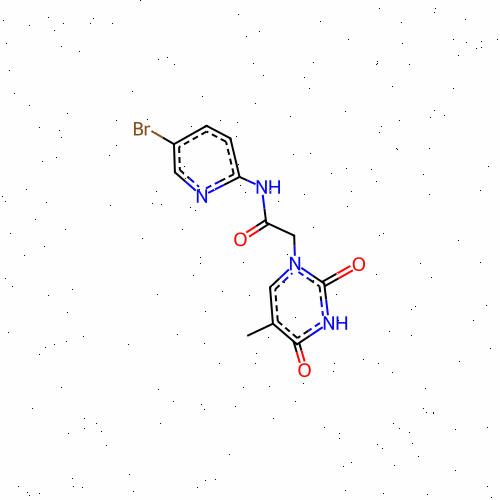 Cc1cn(CC(=O)Nc2ccc(Br)cn2)c(=O)[nH]c1=O